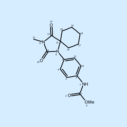 COC(=O)Nc1ccc(N2C(=O)N(C)C(=O)C23CCCCC3)cc1